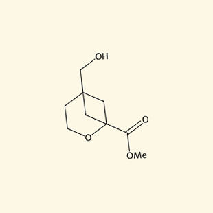 COC(=O)C12CC(CO)(CCO1)C2